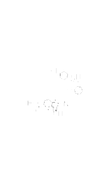 Cn1c(CN2CCC(c3cccc4c3OCC(C)(c3ccc(Cl)cc3)O4)CC2)nc2ccc(C(=O)O)nc21